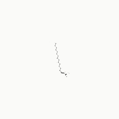 CCCCCCCCCCCCCCCC1OC1(C)C(=O)O